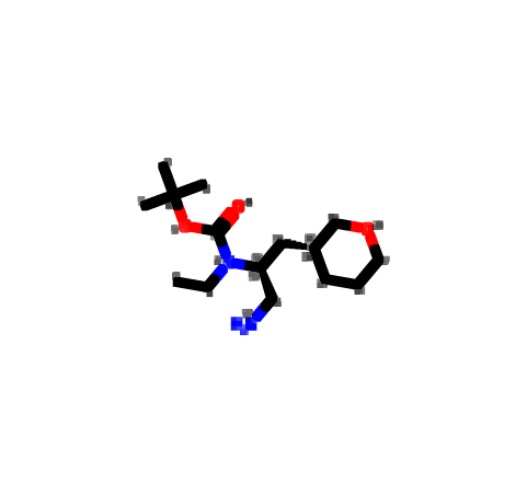 CCN(C(=O)OC(C)(C)C)[C@H](CN)C[C@H]1CCCOC1